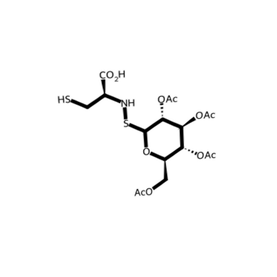 CC(=O)OC[C@H]1OC(SN[C@@H](CS)C(=O)O)[C@H](OC(C)=O)[C@@H](OC(C)=O)[C@@H]1OC(C)=O